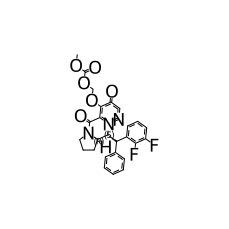 COC(=O)OCOc1c2n(ncc1=O)[C@@H](C(c1ccccc1)c1cccc(F)c1F)[C@H]1CCCN1C2=O